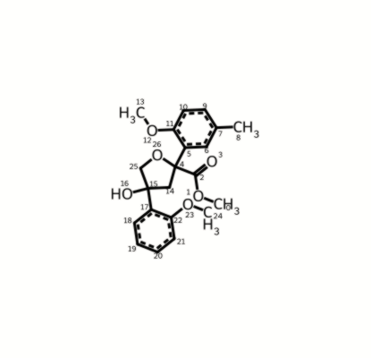 COC(=O)C1(c2cc(C)ccc2OC)CC(O)(c2ccccc2OC)CO1